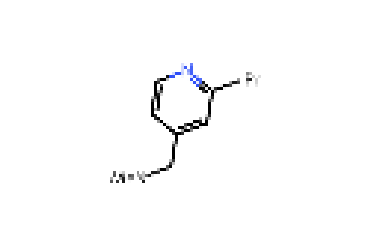 CNCc1ccnc(C(C)C)c1